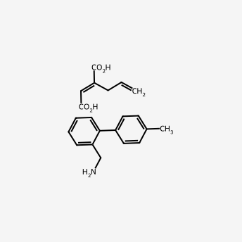 C=CC/C(=C\C(=O)O)C(=O)O.Cc1ccc(-c2ccccc2CN)cc1